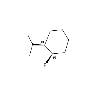 CC(C)[C@H]1CCCC[C@H]1F